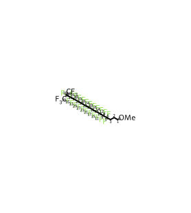 COCCCC(F)(F)C(F)(F)C(F)(F)C(F)(F)C(F)(F)C(F)(F)C(F)(F)C(F)(F)C(F)(F)C(F)(F)C(F)(F)C(F)(C(F)(F)F)C(F)(F)F